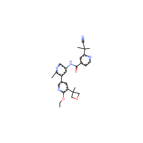 CCOc1ncc(-c2cc(NC(=O)c3ccnc(C(C)(C)C#N)c3)cnc2C)cc1C1(C)COC1